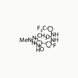 CNc1nc(C)c2cc(-c3ccc(F)c(NC(=O)Nc4cccc(C(F)(F)F)c4)c3)c(=O)[nH]c2n1